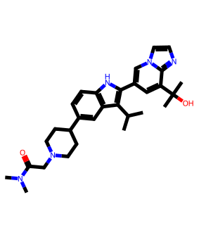 CC(C)c1c(-c2cc(C(C)(C)O)c3nccn3c2)[nH]c2ccc(C3CCN(CC(=O)N(C)C)CC3)cc12